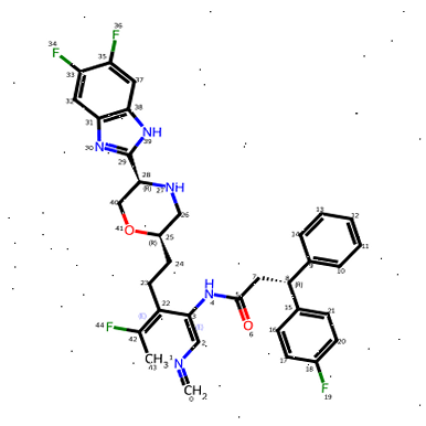 C=N/C=C(NC(=O)C[C@H](c1ccccc1)c1ccc(F)cc1)\C(CC[C@@H]1CN[C@H](c2nc3cc(F)c(F)cc3[nH]2)CO1)=C(/C)F